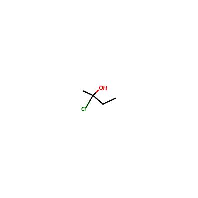 CCC(C)(O)Cl